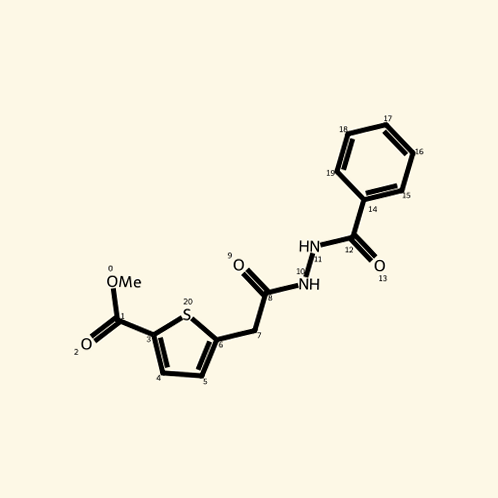 COC(=O)c1ccc(CC(=O)NNC(=O)c2ccccc2)s1